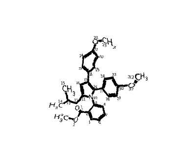 COC(=O)c1ccccc1-n1c(CC(C)C)cc(-c2ccc(OC)cc2)c1-c1ccc(OC)cc1